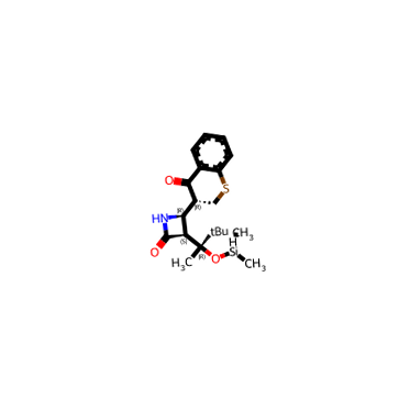 C[SiH](C)O[C@](C)([C@H]1C(=O)N[C@H]1[C@H]1CSc2ccccc2C1=O)C(C)(C)C